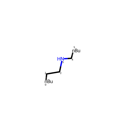 CCCC[CH]CNCCCCC